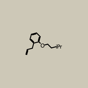 C=CCc1ccccc1OCCC(C)C